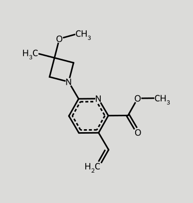 C=Cc1ccc(N2CC(C)(OC)C2)nc1C(=O)OC